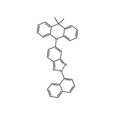 CC1(C)c2ccccc2N(c2ccc3nn(-c4cccc5ccccc45)nc3c2)c2ccccc21